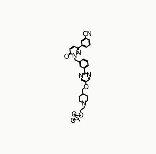 CS(=O)(=O)OCCN1CCC(COc2cnc(-c3cccc(Cn4nc(-c5cccc(C#N)c5)ccc4=O)c3)nc2)CC1